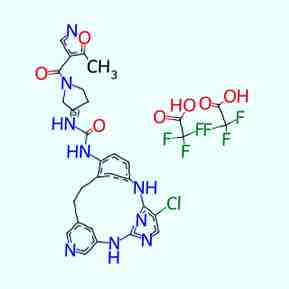 Cc1oncc1C(=O)N1CC[C@H](NC(=O)Nc2ccc3cc2CCc2cncc(c2)Nc2ncc(Cl)c(n2)N3)C1.O=C(O)C(F)(F)F.O=C(O)C(F)(F)F